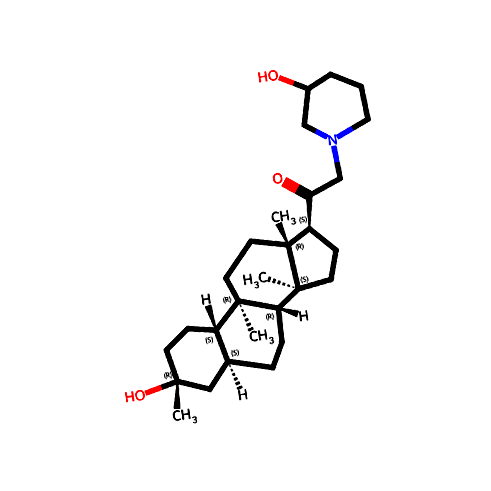 C[C@@]1(O)CC[C@H]2[C@@H](CC[C@@H]3[C@]2(C)CC[C@]2(C)[C@@H](C(=O)CN4CCCC(O)C4)CC[C@@]32C)C1